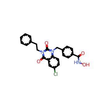 O=C(NO)c1ccc(Cn2c(=O)n(CCc3ccccc3)c(=O)c3cc(Cl)ccc32)cc1